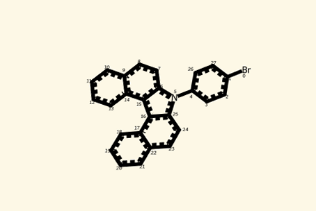 Brc1ccc(-n2c3ccc4ccccc4c3c3c4ccccc4ccc32)cc1